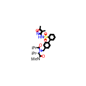 CNC(=O)[C@H](C(C)C)N(Cc1ccc(-c2ccccc2S(=O)(=O)Nc2noc(C)c2C)cc1)C(=O)C(C)C